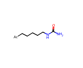 CC(=O)CCCCCNC(N)=O